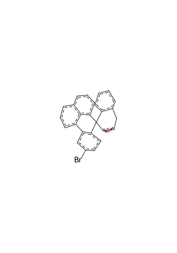 Brc1ccc2c(c1)-c1cccc3cccc(c13)C21c2ccccc2Cc2ccccc21